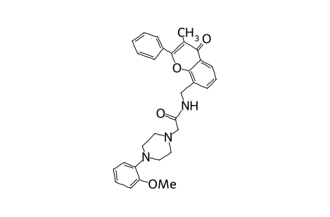 COc1ccccc1N1CCN(CC(=O)NCc2cccc3c(=O)c(C)c(-c4ccccc4)oc23)CC1